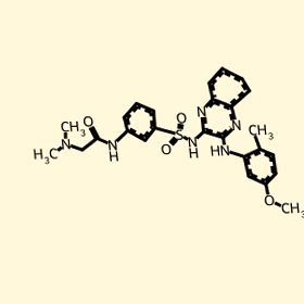 COc1ccc(C)c(Nc2nc3ccccc3nc2NS(=O)(=O)c2cccc(NC(=O)CN(C)C)c2)c1